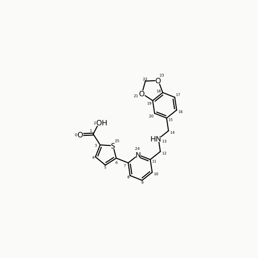 O=C(O)c1ccc(-c2cccc(CNCc3ccc4c(c3)OCO4)n2)s1